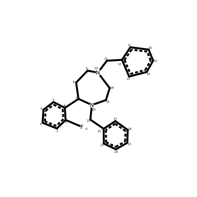 Fc1ccccc1C1CCN(Cc2ccccc2)CCN1Cc1ccccc1